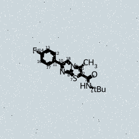 Cc1c(C(=O)NC(C)(C)C)sc2nc(-c3ccc(F)cc3)cn12